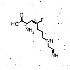 N=CCNCCC/C(F)=C\[C@H](N)C(=O)O